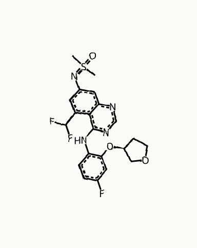 CS(C)(=O)=Nc1cc(C(F)F)c2c(Nc3ccc(F)cc3O[C@H]3CCOC3)ncnc2c1